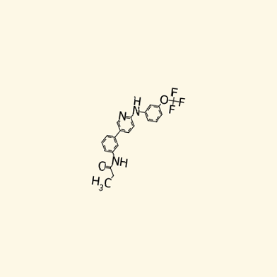 CCC(=O)Nc1cccc(-c2ccc(Nc3cccc(OC(F)(F)F)c3)nc2)c1